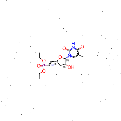 CCOP(=O)(/C=C/[C@@H]1C[C@H](O)[C@H](n2cc(C)c(=O)[nH]c2=O)O1)OCC